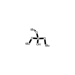 CC(C)(C)O[Si](O)(OC(C)(C)C)OC(C)(C)C